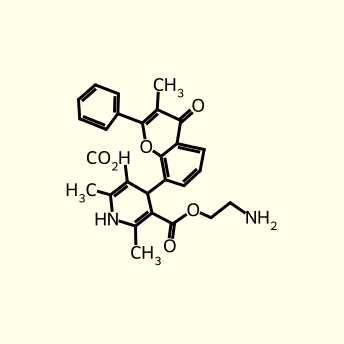 CC1=C(C(=O)O)C(c2cccc3c(=O)c(C)c(-c4ccccc4)oc23)C(C(=O)OCCN)=C(C)N1